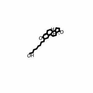 C[C@]12CCC3=C4CC(CCCCCCCCO)C(=O)C=C4CC[C@H]3[C@@H]1CCC2=O